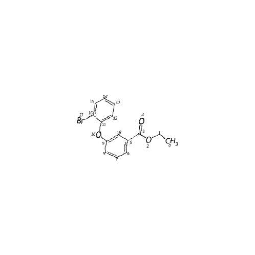 CCOC(=O)c1cccc(Oc2ccccc2Br)c1